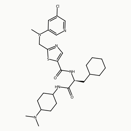 CN(Cc1ncc(C(=O)N[C@@H](CC2CCCCC2)C(=O)NC2CCC(N(C)C)CC2)s1)c1cncc(Cl)c1